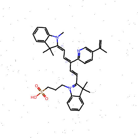 C=C(C)c1ccc(C(=C\C=C2\N(C)c3ccccc3C2(C)C)/C=C/C2=[N+](CCCS(=O)(=O)O)c3ccccc3C2(C)C)nc1